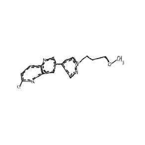 COCCCn1cc(-c2cnc3ccc(Cl)nc3c2)cn1